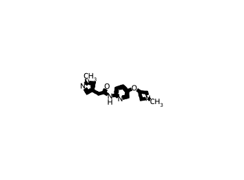 CN1CC(Oc2ccc(NC(=O)Cc3cnn(C)c3)nc2)C1